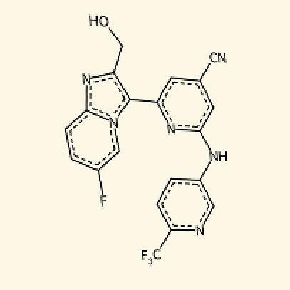 N#Cc1cc(Nc2ccc(C(F)(F)F)nc2)nc(-c2c(CO)nc3ccc(F)cn23)c1